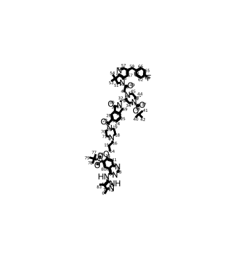 Cc1n[nH]c(Nc2ncnc3cc(OCCCN4CCN(C(=O)c5ccc6c(c5)C(=O)N(C[C@H]5CN(C(=O)OC(C)(C)C)[C@@H](C)CN5CC(=O)N5CC(C)(C)c7ncc(Cc8ccc(F)cc8)cc75)C6)CC4)c(S(=O)(=O)C(C)(C)C)cc23)c1C